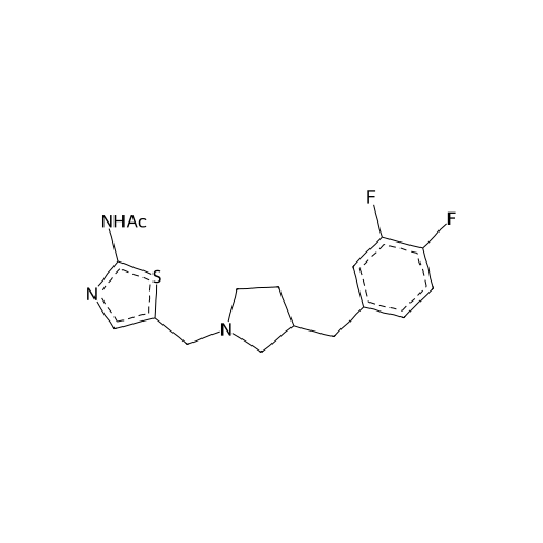 CC(=O)Nc1ncc(CN2CCC(Cc3ccc(F)c(F)c3)C2)s1